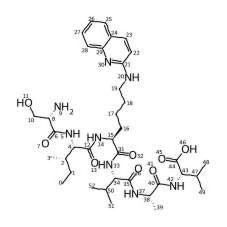 CC[C@H](C)[C@H](NC(=O)[C@@H](N)CO)C(=O)N[C@@H](CCCCNc1ccc2ccccc2n1)C(=O)N[C@H](C(=O)N[C@@H](C)C(=O)N[C@H](C(=O)O)C(C)C)C(C)C